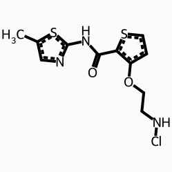 Cc1cnc(NC(=O)c2sccc2OCCNCl)s1